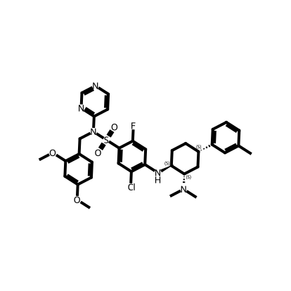 COc1ccc(CN(c2ccncn2)S(=O)(=O)c2cc(Cl)c(N[C@H]3CC[C@H](c4cccc(C)c4)C[C@@H]3N(C)C)cc2F)c(OC)c1